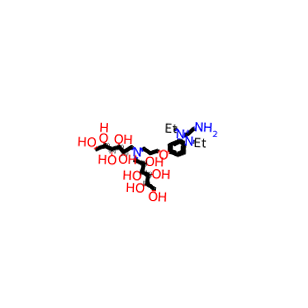 CCn1c(CN)[n+](CC)c2cc(OCCCN(C[C@H](O)[C@@H](O)[C@H](O)[C@H](O)CO)C[C@H](O)[C@@H](O)[C@H](O)[C@H](O)CO)ccc21